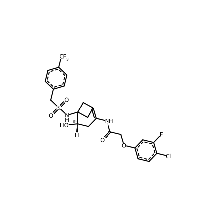 O=C(COc1ccc(Cl)c(F)c1)NC1=C2CC(NS(=O)(=O)Cc3ccc(C(F)(F)F)cc3)(C2)[C@@H](O)C1